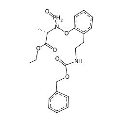 CCOC(=O)[C@H](C)N(Oc1ccccc1CCNC(=O)OCc1ccccc1)[PH2]=O